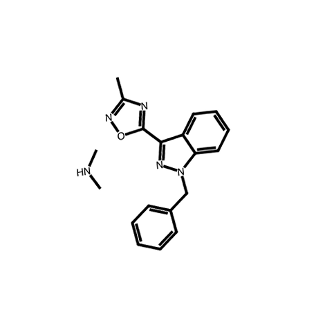 CNC.Cc1noc(-c2nn(Cc3ccccc3)c3ccccc23)n1